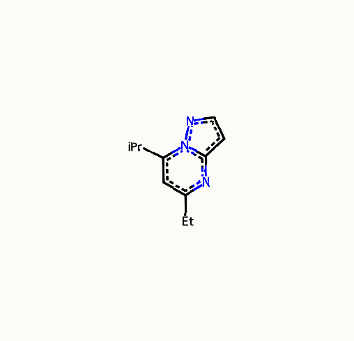 CCc1cc(C(C)C)n2nccc2n1